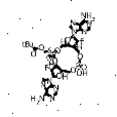 CC(C)(C)C(=O)OCSP1(=O)OC[C@H]2O[C@@H](n3cnc4c(N)ncnc43)[C@H](F)[C@@H]2COCP(=O)(O)OC[C@H]2O[C@@H](n3cnc4c(N)ncnc43)[C@H](F)[C@@H]2O1